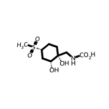 CS(=O)(=O)[C@@H]1CC[C@@](O)(CNC(=O)O)[C@H](O)C1